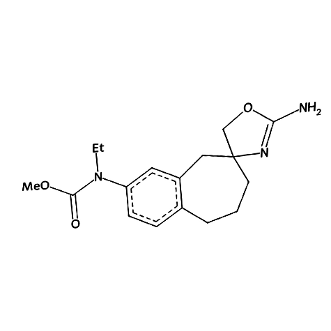 CCN(C(=O)OC)c1ccc2c(c1)CC1(CCC2)COC(N)=N1